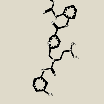 Cc1cccc(NC(=O)N(CCN(C)C)Cc2ccc(C(=O)Nc3ccccc3NC(=O)OC(C)(C)C)cn2)c1